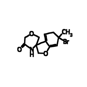 CC1(Br)C=C2OCC3(COCC(=O)N3)C2=CC1